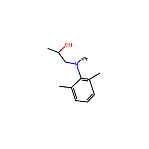 CCCN(CC(C)O)c1c(C)cccc1C